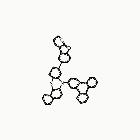 c1ccc2c3c(ccc2c1)N(c1ccc2c4ccccc4c4ccccc4c2c1)c1cc(-c2ccc4oc5ccccc5c4c2)ccc1S3